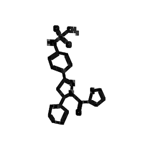 CS(=O)(=O)Nc1ccc(C2=NN(C(=O)c3cccs3)C(c3ccccc3)C2)cc1